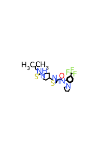 CC(C)CNC(=S)N1CCC(c2nc(C(=O)Nc3cc(C(F)(F)F)ccc3N3CCCC3)cs2)CC1